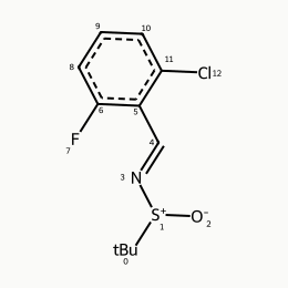 CC(C)(C)[S+]([O-])N=Cc1c(F)cccc1Cl